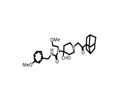 COCCN(C(=O)NCc1cccc(OC)c1)C1(C=O)CCN(CC(=O)C23CC4CC(CC(C4)C2)C3)CC1